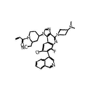 C=CC(=O)N1CCC(n2cnc3c(N4CC(N(C)C)C4)nc4c(F)c(-c5cncc6ccccc56)c(Cl)cc4c32)CC1CC#N